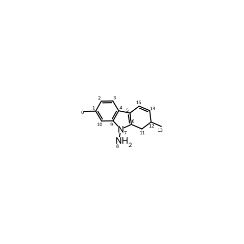 Cc1ccc2c3c(n(N)c2c1)CC(C)C=C3